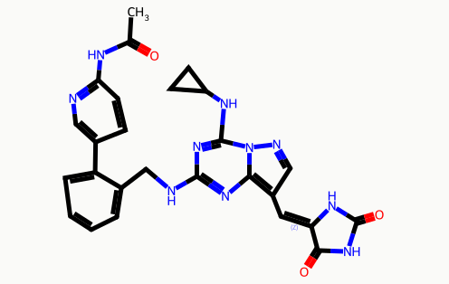 CC(=O)Nc1ccc(-c2ccccc2CNc2nc(NC3CC3)n3ncc(/C=C4\NC(=O)NC4=O)c3n2)cn1